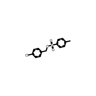 Cc1ccc(S(=O)(=O)OCc2ccc(Cl)cc2)cc1